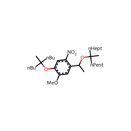 CCCCCCCC(C)(CCCCC)OC(C)c1cc(OC)c(OC(C)(CCCC)CCCC)cc1[N+](=O)[O-]